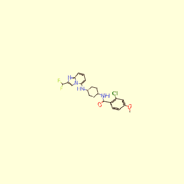 COc1ccc(C(=O)NC2CCC(Nc3cccc4nc(C(F)F)cn34)CC2)c(Cl)c1